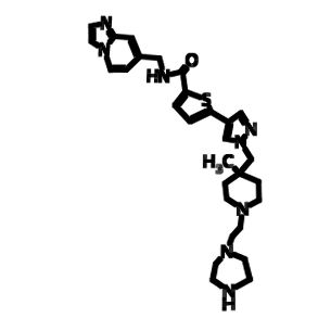 CC1(Cn2cc(-c3ccc(C(=O)NCc4ccn5ccnc5c4)s3)cn2)CCN(CCN2CCNCC2)CC1